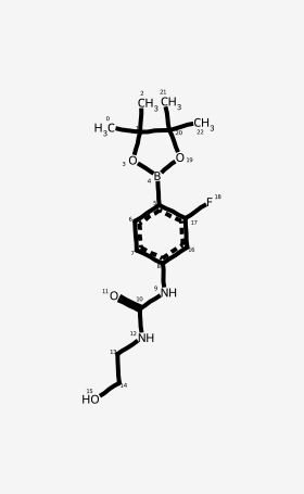 CC1(C)OB(c2ccc(NC(=O)NCCO)cc2F)OC1(C)C